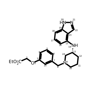 CCOC(=O)COc1cccc(CN2CCC[C@@H](Nc3cccc4[nH]ncc34)C2)c1